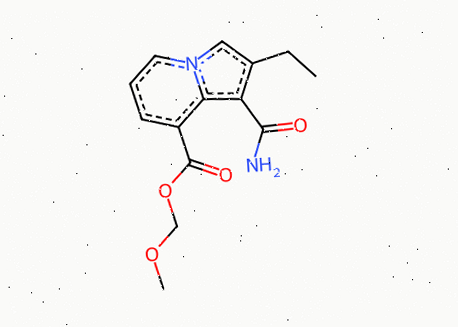 CCc1cn2cccc(C(=O)OCOC)c2c1C(N)=O